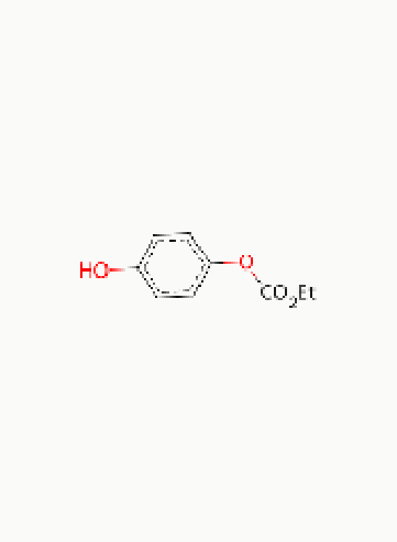 CCOC(=O)Oc1ccc(O)cc1